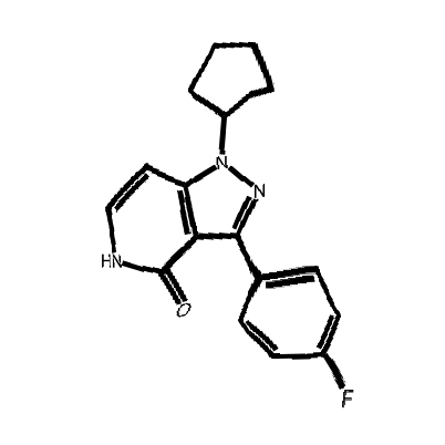 O=c1[nH]ccc2c1c(-c1ccc(F)cc1)nn2C1CCCC1